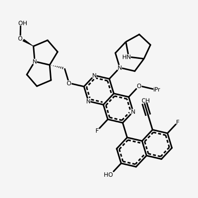 C#Cc1c(F)ccc2cc(O)cc(-c3nc(OC(C)C)c4c(N5CC6CCC(C5)N6)nc(OC[C@]56CCCN5[C@@H](OO)CC6)nc4c3F)c12